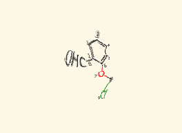 O=[C]c1ccccc1OCCl